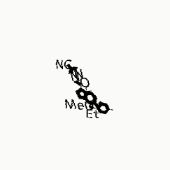 CCC1C[C@@H](C)CC[C@]1(COC)C1CC[C@@]2(C)C(CC[C@@H]2C(=O)Cn2cc(C#N)cn2)C1